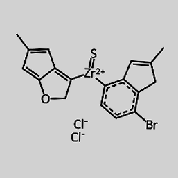 CC1=CC2=[C]([Zr+2](=[S])[c]3ccc(Br)c4c3C=C(C)C4)COC2=C1.[Cl-].[Cl-]